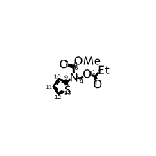 CCC(=O)OCN(C(=O)OC)c1cccs1